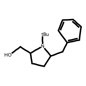 CC(C)(C)N1C(CO)CCC1Cc1ccccc1